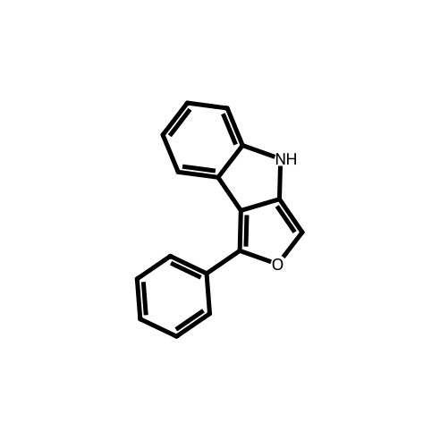 c1ccc(-c2occ3[nH]c4ccccc4c23)cc1